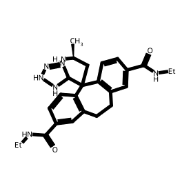 CCNC(=O)c1ccc2c(c1)CCc1cc(C(=O)NCC)ccc1C2(C[C@H](C)N)C1N=NNN1